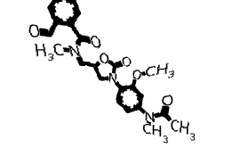 COc1cc(N(C)C(C)=O)ccc1N1CC(CN(C)C(=O)c2ccccc2C=O)OC1=O